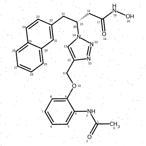 CC(=O)Nc1ccccc1OCc1cn([C@@H](CC(=O)NO)Cc2ccc3ccccc3c2)nn1